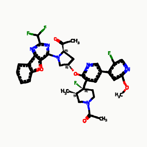 COc1cc(-c2cnc(O[C@H]3C[C@@H](C(C)=O)N(c4nc(C(F)F)nc5c4oc4ccccc45)C3)c([C@@]3(F)CCN(C(C)=O)C[C@@H]3C)c2)c(F)cn1